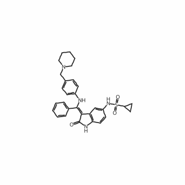 O=C1Nc2ccc(NS(=O)(=O)C3CC3)cc2C1=C(Nc1ccc(CN2CCCCC2)cc1)c1ccccc1